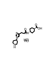 Cl.Cl.O=C(CCc1cn(C2CCNCC2)cn1)N[C@H]1CC[C@H](C(=O)O)CC1